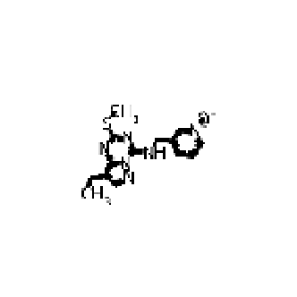 CCc1cnn2c(NCc3ccc[n+]([O-])c3)nc(SC)nc12